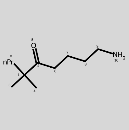 CCCC(C)(C)C(=O)CCCCN